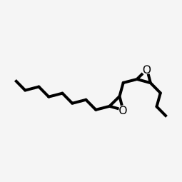 CCCCCCCCC1OC1CC1OC1CCC